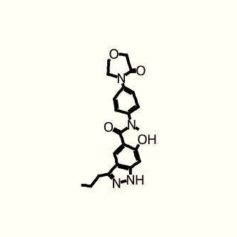 CCCc1n[nH]c2cc(O)c(C(=O)N(C)c3ccc(N4CCOCC4=O)cc3)cc12